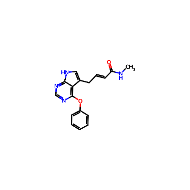 CNC(=O)C=CCc1c[nH]c2ncnc(Oc3ccccc3)c12